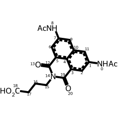 CC(=O)Nc1cc2c3c(cc(NC(C)=O)cc3c1)C(=O)N(CCCC(=O)O)C2=O